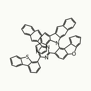 c1ccc2cc(-c3nc(-c4ccc5oc6ccccc6c5c4-n4c5cc6ccccc6cc5c5ccc6ccccc6c54)nc(-c4cccc5c4sc4ccccc45)n3)ccc2c1